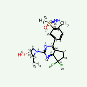 Cc1ccc(-c2nc(N3C[C@@H](O)[C@@H]3C)nc3c2CCC3(F)F)cc1S(C)(=N)=O